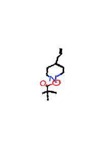 C=CCC1CCN(OC(=O)C(C)(C)C)CC1